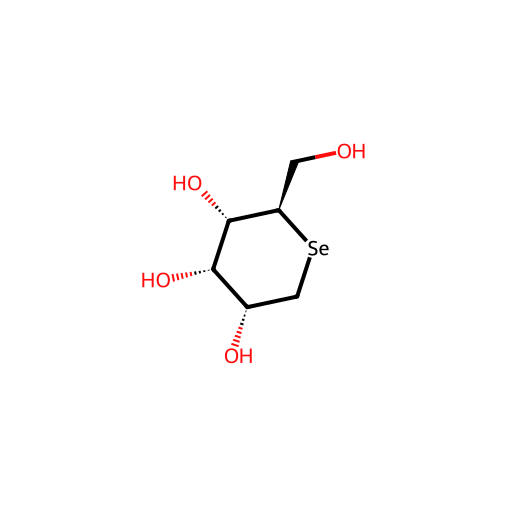 OC[C@H]1[Se]C[C@H](O)[C@H](O)[C@@H]1O